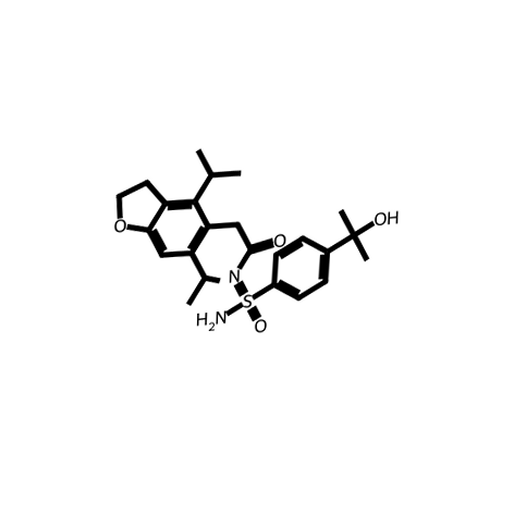 CC(C)c1cc2c(c(C(C)C)c1CC(=O)N=S(N)(=O)c1ccc(C(C)(C)O)cc1)CCO2